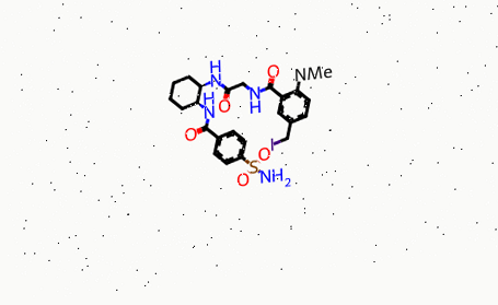 CNc1ccc(CI)cc1C(=O)NCC(=O)N[C@@H]1CCCC[C@@H]1NC(=O)c1ccc(S(N)(=O)=O)cc1